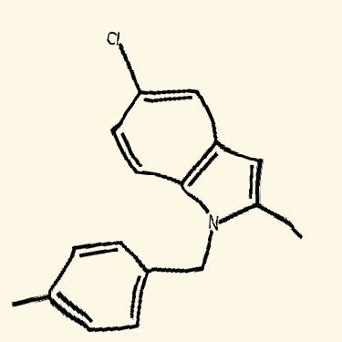 Cc1ccc(Cn2c(C)cc3cc(Cl)ccc32)cc1